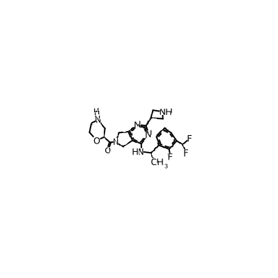 C[C@@H](Nc1nc(C2CNC2)nc2c1CN(C(=O)C1CNCCO1)C2)c1cccc(C(F)F)c1F